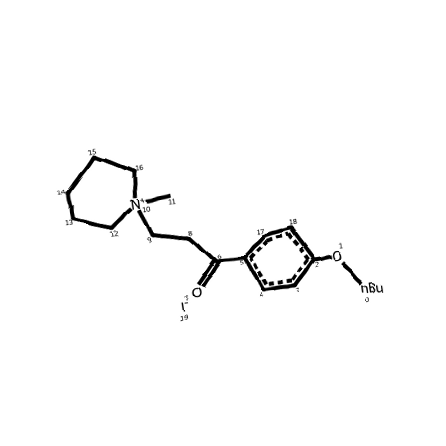 CCCCOc1ccc(C(=O)CC[N+]2(C)CCCCC2)cc1.[I-]